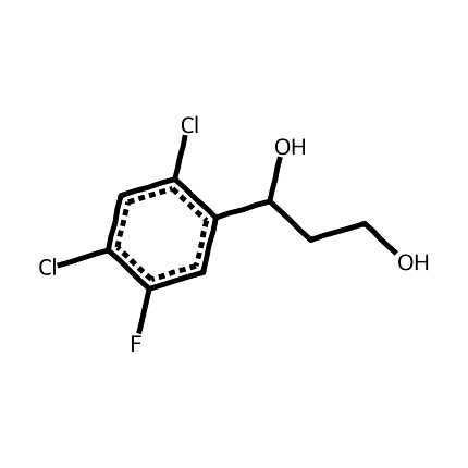 OCCC(O)c1cc(F)c(Cl)cc1Cl